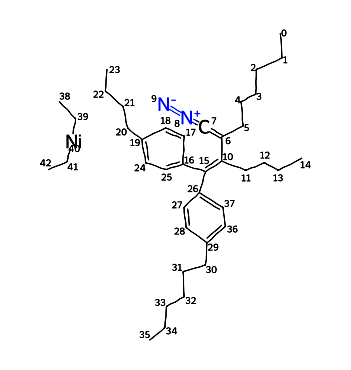 CCCCCCC(=C=[N+]=[N-])C(CCCC)=C(c1ccc(CCCC)cc1)c1ccc(CCCCCC)cc1.C[CH2][Ni][CH2]C